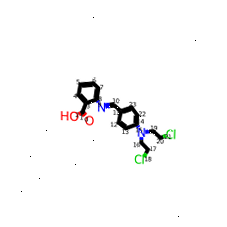 O=C(O)c1ccccc1N=Cc1ccc(N(CCCl)CCCl)cc1